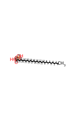 CCCCCCCCCCCCCCCCCCCCCCCCCCC(C(=O)O)S(=O)(=O)O